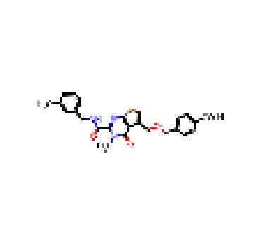 Cc1cccc(CNC(=O)c2nc3scc(COCc4ccc(C(=O)O)cc4)c3c(=O)n2C)c1